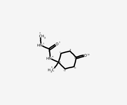 CNC(=O)NC1(C)CCC(=O)CC1